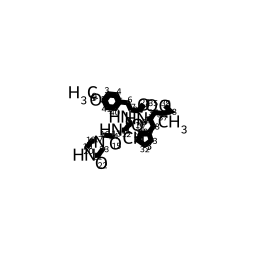 COc1ccc(CC(NC(=O)C(C)NC(=O)CN2CCNC(=O)C2)C(=O)NC(CC2=CCCC2)C(=O)C2(C)CO2)cc1